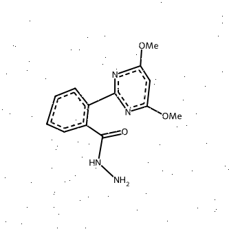 COc1cc(OC)nc(-c2ccccc2C(=O)NN)n1